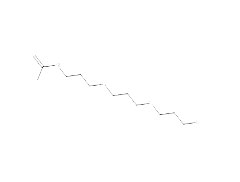 C=C(C)NCCCNCCCNCCCN